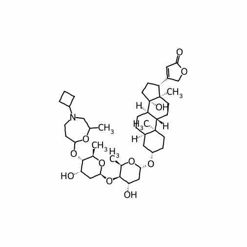 CC1CN(C2CCC2)CCC(O[C@H]2[C@@H](O)C[C@H](O[C@@H]3[C@@H](O)C[C@@H](O[C@H]4CC[C@@]5(C)[C@H](CC[C@@H]6[C@@H]5CC[C@]5(C)[C@@H](C7=CC(=O)OC7)CC[C@]65O)C4)O[C@@H]3C)O[C@@H]2C)O1